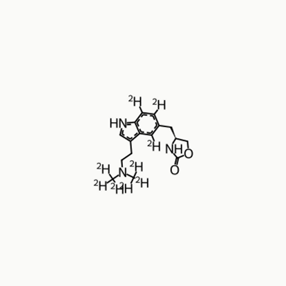 [2H]c1c(C[C@H]2COC(=O)N2)c([2H])c2c(CCN(C([2H])([2H])[2H])C([2H])([2H])[2H])c[nH]c2c1[2H]